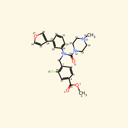 COC(=O)c1ccc(CN(C(=O)N2CCN(C)CC2)c2cccc(-c3ccoc3)c2)c(F)c1